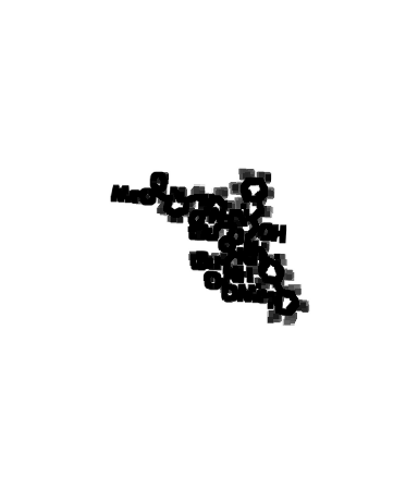 COC(=O)NC(C(=O)NN(Cc1ccc(-c2ccccn2)cc1)CC(O)C(Cc1ccccc1)NC(=O)C(N1CCN(Cc2cccc(C(=O)OC)n2)C1=O)C(C)(C)C)C(C)(C)C